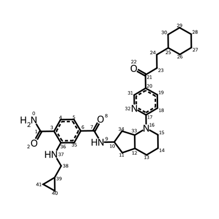 NC(=O)c1ccc(C(=O)NC2CC3CCCN(c4ccc(C(=O)CCC5CCCCC5)cn4)C3C2)cc1NCC1CC1